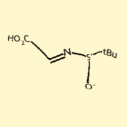 CC(C)(C)[S+]([O-])N=CC(=O)O